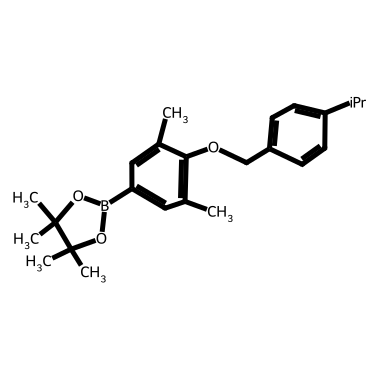 Cc1cc(B2OC(C)(C)C(C)(C)O2)cc(C)c1OCc1ccc(C(C)C)cc1